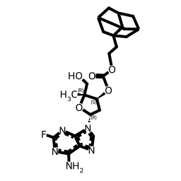 C[C@]1(CO)O[C@@H](n2cnc3c(N)nc(F)nc32)C[C@@H]1OC(=O)OCCC12CC3CC(CC(C3)C1)C2